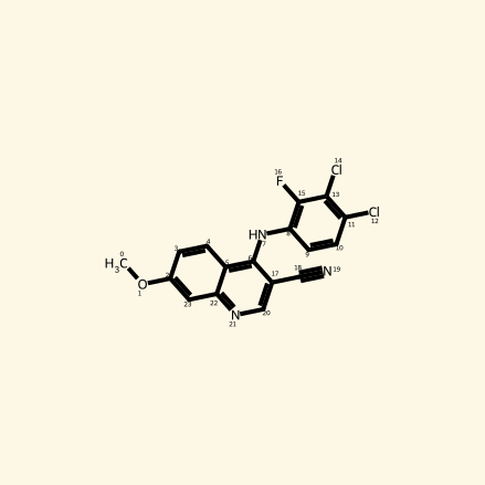 COc1ccc2c(Nc3ccc(Cl)c(Cl)c3F)c(C#N)cnc2c1